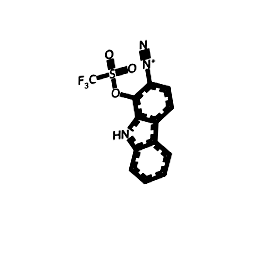 N#[N+]c1ccc2c([nH]c3ccccc32)c1OS(=O)(=O)C(F)(F)F